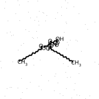 CCCCCCCCCCCCCCCC(=O)OCC(CNC(=O)C(CC(=O)O)N=O)OC(=O)CCCCCCCCCCCCCCC